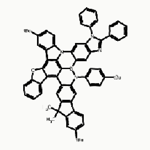 CC(C)(C)c1ccc(N2B3c4cc5nc(-c6ccccc6)n(-c6ccccc6)c5cc4-n4c5ccc(C(C)(C)C)cc5c5c6oc7ccccc7c6c(c3c54)-c3cc4c(cc32)-c2ccc(C(C)(C)C)cc2C4(C)C)cc1